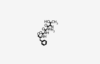 C[C@@H](O)C(N)C(=O)NC(=O)NC(=O)N[C@H](C=O)Cc1ccccc1